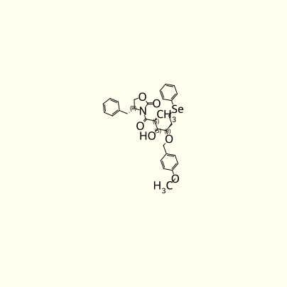 COc1ccc(CO[C@H](CC[Se]c2ccccc2)[C@@H](O)[C@H](C)C(=O)N2C(=O)OC[C@H]2Cc2ccccc2)cc1